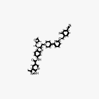 Cc1n[nH]c2ncc(C(=O)Nc3ccc4c(c3)nc(CN3CC=C(c5cccc(OCc6ccc(C#N)cc6F)n5)CC3)n4C[C@@H]3CCO3)cc12